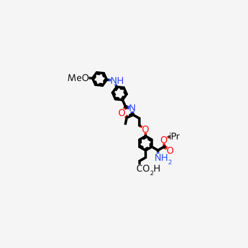 COc1ccc(Nc2ccc(-c3nc(CCOc4ccc(CCC(=O)O)c(C(N)C(=O)OC(C)C)c4)c(C)o3)cc2)cc1